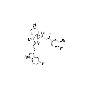 O=C(/C=C(\F)c1ccc(F)c(Br)c1)NC1(C(=O)NCCc2c[nH]c3ccc(F)cc23)CCNCC1